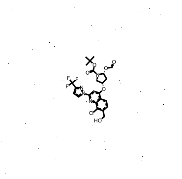 CC(C)(C)OC(=O)N1C[C@@H](Oc2cc(-n3ccc(C(F)(F)F)n3)nc3c(Cl)c(CO)ccc23)C[C@H]1OC=O